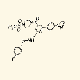 CS(=O)(=O)N1CCN(C(=O)c2cc(CCN[C@@H]3C[C@H]3c3ccc(F)cc3)nc(-c3ccc(-n4cccn4)cc3)c2)CC1